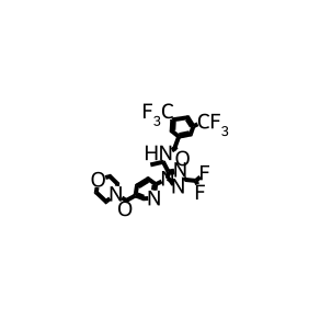 CC(NC(=O)c1cc(C(F)(F)F)cc(C(F)(F)F)c1)c1nc(C(F)F)nn1-c1ccc(C(=O)N2CCOCC2)cn1